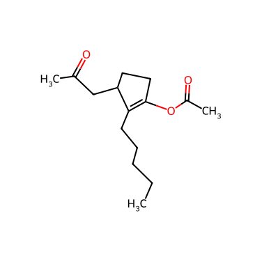 CCCCCC1=C(OC(C)=O)CCC1CC(C)=O